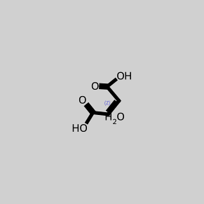 O.O=C(O)/C=C\C(=O)O